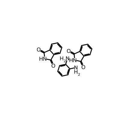 Nc1ccccc1N.O=C1NC(=O)c2ccccc21.O=C1NC(=O)c2ccccc21